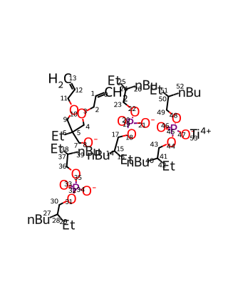 C=CCOCC(CC)(C[O-])COCC=C.CCCCC(CC)COP(=O)([O-])OCC(CC)CCCC.CCCCC(CC)COP(=O)([O-])OCC(CC)CCCC.CCCCC(CC)COP(=O)([O-])OCC(CC)CCCC.[Ti+4]